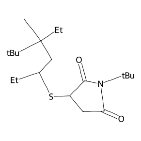 CCC(CC(C)(CC)C(C)(C)C)SC1CC(=O)N(C(C)(C)C)C1=O